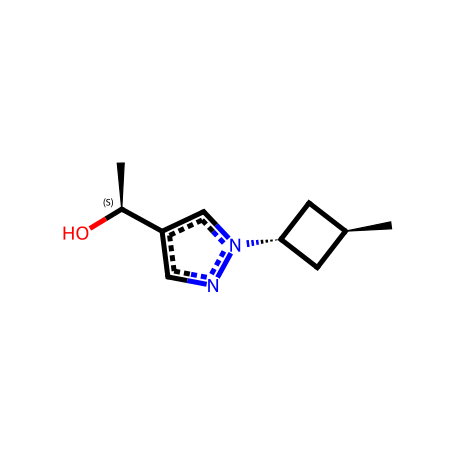 C[C@H](O)c1cnn([C@H]2C[C@H](C)C2)c1